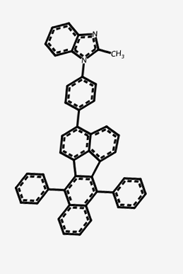 Cc1nc2ccccc2n1-c1ccc(-c2ccc3c4c(cccc24)-c2c-3c(-c3ccccc3)c3ccccc3c2-c2ccccc2)cc1